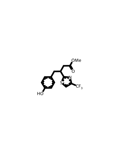 COC(=O)CC(Cc1ccc(O)cc1)c1nc(C(F)(F)F)cs1